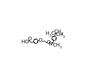 CC(=NOCCCOc1ccc(CC(=O)O)cc1)c1ccc(C(C)(C)C)cc1